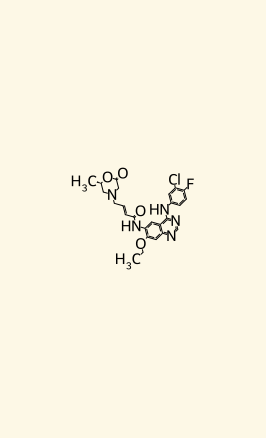 CCOc1cc2ncnc(Nc3ccc(F)c(Cl)c3)c2cc1NC(=O)/C=C/CN1CC(=O)O[C@H](C)C1